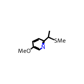 COc1ccc(C(C)SC)nc1